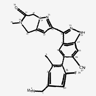 CNCc1cc(C)c(-c2cc3c(-c4cc5n(n4)CC(=O)N(C)C5)n[nH]c3cc2C#N)c(F)c1